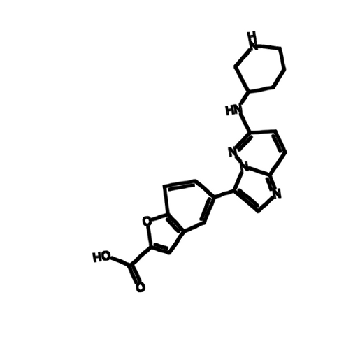 O=C(O)c1cc2cc(-c3cnc4ccc(NC5CCCNC5)nn34)ccc2o1